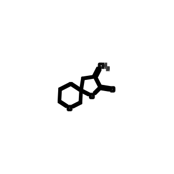 C=C1CC2(CCCOC2)OC1=O